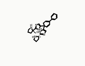 C[C@@]1(c2ncc(C3(c4cnc([C@@H]5CCCN5)[nH]4)C=CC(c4ccccc4)=CC3)[nH]2)CCCN1